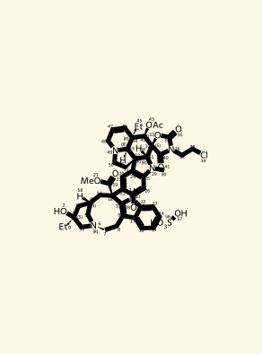 CC[C@]1(O)C[C@H]2C[N@](CCc3c([nH]c4ccccc34)[C@@](C(=O)OC)(c3cc4c(cc3OC)N(C)[C@H]3[C@]5(OC(=O)N(CCCl)C5=O)[C@H](OC(C)=O)[C@]5(CC)C=CCN6CC[C@]43[C@@H]65)C2)C1.O=S(=O)(O)O